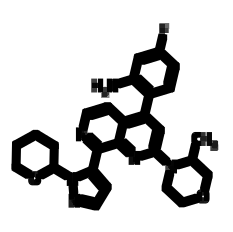 CC1COCCN1c1cc(-c2ccc(F)cc2N)c2ccnc(-c3ccnn3C3CCCCO3)c2n1